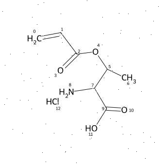 C=CC(=O)OC(C)C(N)C(=O)O.Cl